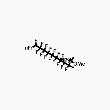 CCCC(F)C(F)(F)C(F)(F)C(F)(F)C(F)(F)C(F)(F)C(F)(F)C(F)(F)C(F)(F)[Si](C)(OC)OC